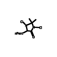 CCCCCC1C(=O)N(Cl)C(C)(C)N1Cl